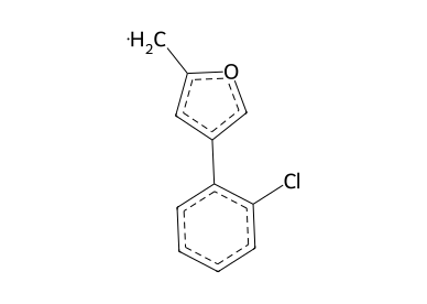 [CH2]c1cc(-c2ccccc2Cl)co1